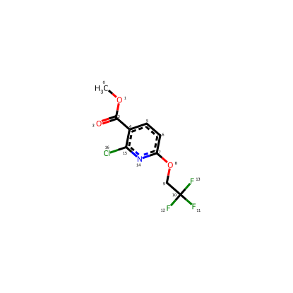 COC(=O)c1ccc(OCC(F)(F)F)nc1Cl